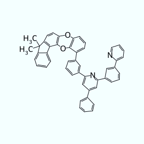 CC1(C)c2ccccc2-c2c1ccc1c2Oc2c(cccc2-c2cccc(-c3cc(-c4ccccc4)cc(-c4cccc(-c5ccccn5)c4)n3)c2)O1